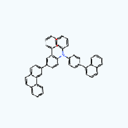 c1ccc(-c2cc(-c3ccc4ccc5ccccc5c4c3)ccc2N(c2ccccc2)c2ccc(-c3cccc4ccccc34)cc2)cc1